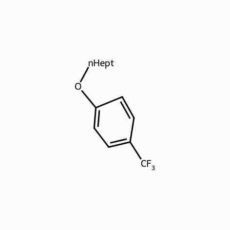 CCCCCCCOc1ccc(C(F)(F)F)cc1